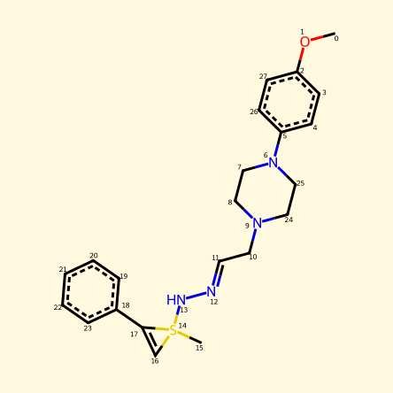 COc1ccc(N2CCN(C/C=N/NS3(C)C=C3c3ccccc3)CC2)cc1